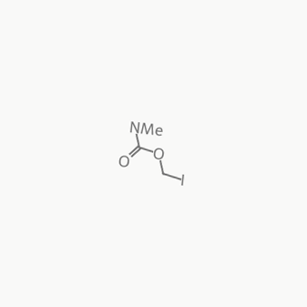 CNC(=O)OCI